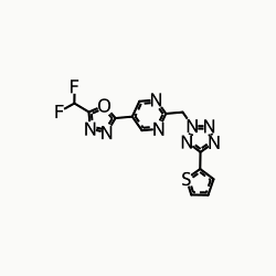 FC(F)c1nnc(-c2cnc(Cn3nnc(-c4cccs4)n3)nc2)o1